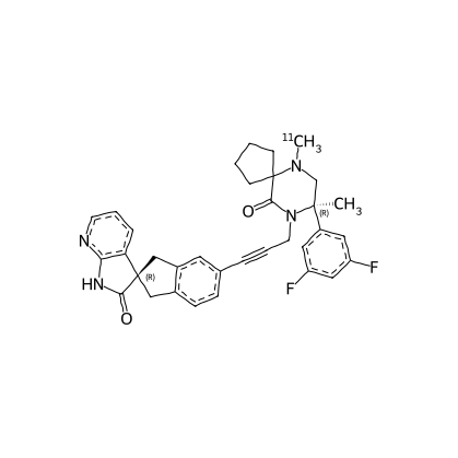 C[C@@]1(c2cc(F)cc(F)c2)CN([11CH3])C2(CCCC2)C(=O)N1CC#Cc1ccc2c(c1)C[C@@]1(C2)C(=O)Nc2ncccc21